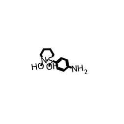 Nc1ccc(S2(O)CCCCN2O)cc1